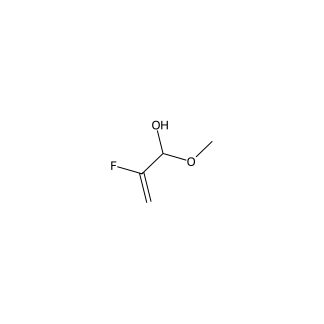 C=C(F)C(O)OC